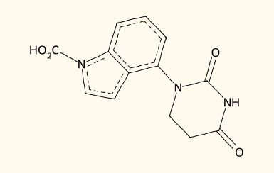 O=C1CCN(c2cccc3c2ccn3C(=O)O)C(=O)N1